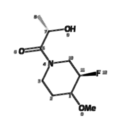 COC1CCN(C(=O)[C@H](C)O)C[C@H]1F